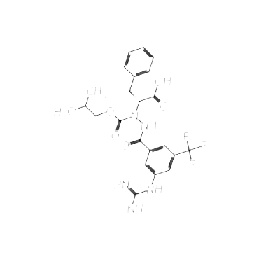 CC(C)COC(=O)N(NC(=O)c1cc(NC(=N)N)cc(C(F)(F)F)c1)[C@@H](Cc1ccccc1)C(=O)O